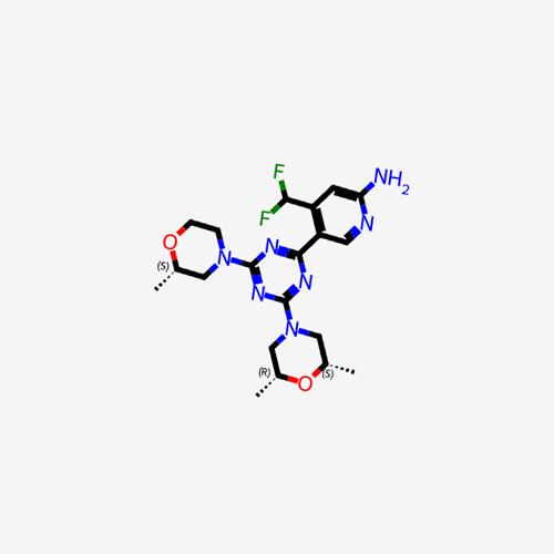 C[C@@H]1CN(c2nc(-c3cnc(N)cc3C(F)F)nc(N3CCO[C@@H](C)C3)n2)C[C@H](C)O1